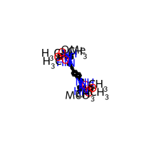 COC(=O)NC(C(=O)N1C2C(C)C2C[C@H]1c1nc(-c2ccc3cc(C#Cc4c[nH]c([C@@H]5CC6C([C@@H]6C)N5C(=O)C(NC(=O)OC)[C@H]5C[C@@H](C)O[C@@H](C)C5)n4)ccc3c2)c[nH]1)[C@H]1C[C@@H](C)O[C@@H](C)C1